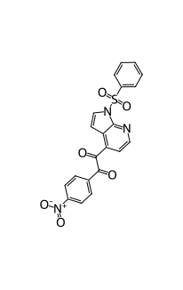 O=C(C(=O)c1ccnc2c1ccn2S(=O)(=O)c1ccccc1)c1ccc([N+](=O)[O-])cc1